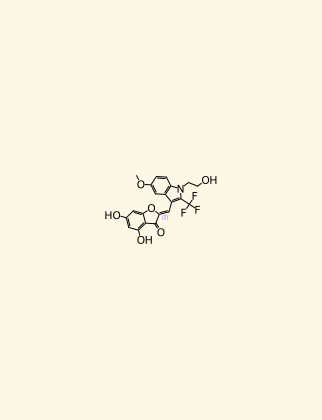 COc1ccc2c(c1)c(/C=C1\Oc3cc(O)cc(O)c3C1=O)c(C(F)(F)F)n2CCO